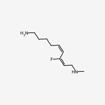 CNC/C=C(F)\C=C/CCCCN